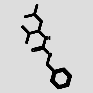 CC(C)CC(NC(=O)OCc1ccccc1)C(C)C